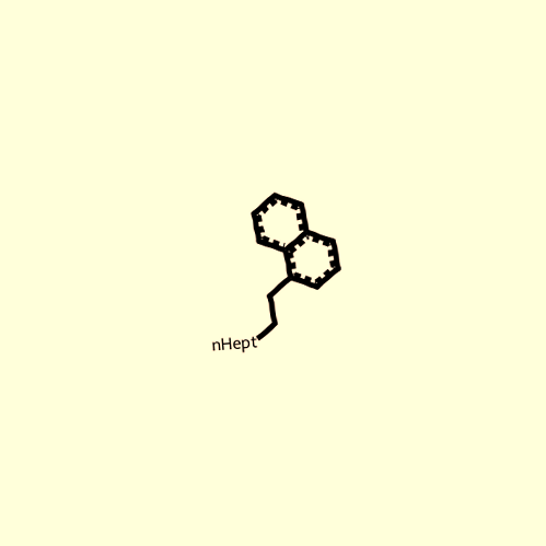 CCCCCCCCCc1cccc2ccccc12